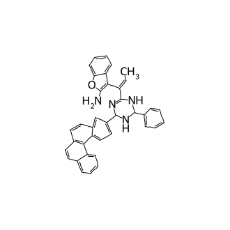 C/C=C(/C1=NC(c2ccc3c(ccc4ccc5ccccc5c43)c2)NC(c2ccccc2)N1)c1c(N)oc2ccccc12